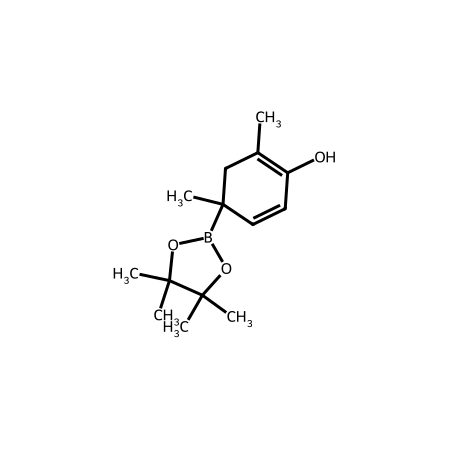 CC1=C(O)C=CC(C)(B2OC(C)(C)C(C)(C)O2)C1